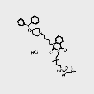 CN(C)CS(=O)(=O)NCCC(C)(C)CCn1c(=O)c2ccccc2n(CCCCN2CCC(OC(c3ccccc3)c3ccccc3)CC2)c1=O.Cl